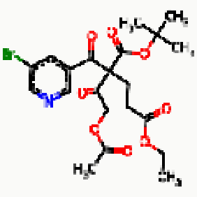 CCOC(=O)CCC(C(=O)COC(C)=O)(C(=O)OC(C)(C)C)C(=O)c1cncc(Br)c1